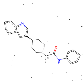 C[C@@H](C(=O)Nc1ccc(Cl)cc1)[C@H]1CC[C@H](c2cnc3ccccc3c2)CC1